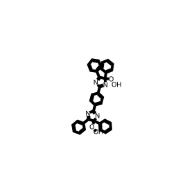 OOC1(c2ccccc2)N=C(c2ccc(C3=NC(OO)(c4ccccc4)C(c4ccccc4)=N3)cc2)N=C1c1ccccc1